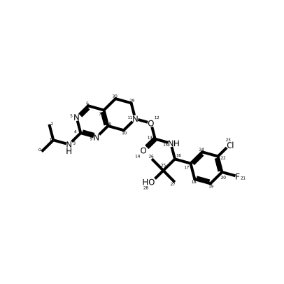 CC(C)Nc1ncc2c(n1)CN(OC(=O)NC(c1ccc(F)c(Cl)c1)C(C)(C)O)CC2